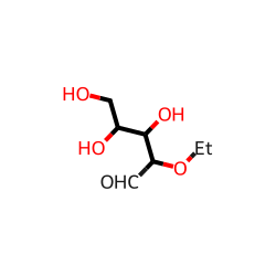 CCOC(C=O)C(O)C(O)CO